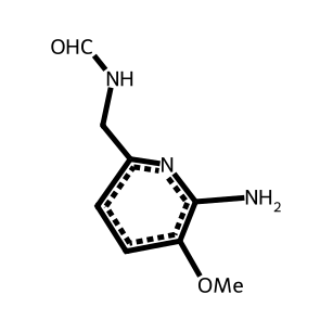 COc1ccc(CNC=O)nc1N